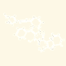 C[C@@H](NC(=O)c1c(N)nc2cccnn12)c1nc2cccc(C#Cc3cnn(C)c3)n2c1-c1ccccc1